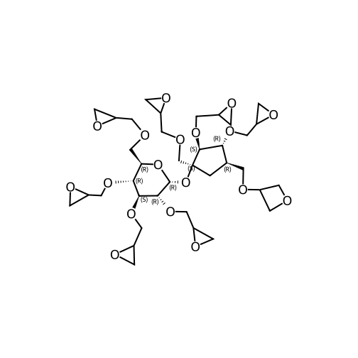 C1OCC1OC[C@H]1C[C@@](COCC2CO2)(O[C@H]2O[C@H](COCC3CO3)[C@@H](OCC3CO3)[C@H](OCC3CO3)[C@H]2OCC2CO2)[C@@H](OCC2CO2)[C@@H]1OCC1CO1